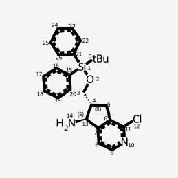 CC(C)(C)[Si](OC[C@@H]1Cc2c(ccnc2Cl)[C@H]1N)(c1ccccc1)c1ccccc1